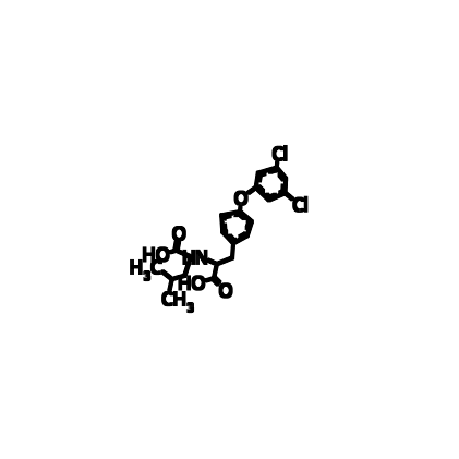 CC(C)CC(NC(Cc1ccc(Oc2cc(Cl)cc(Cl)c2)cc1)C(=O)O)C(=O)O